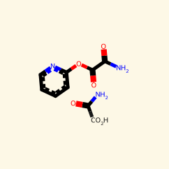 NC(=O)C(=O)O.NC(=O)C(=O)Oc1ccccn1